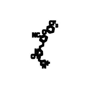 Cn1cc(Cn2ccc(CCc3ccc(Oc4cccc(C(F)(F)F)c4)c(C#N)c3)nc2=O)cn1